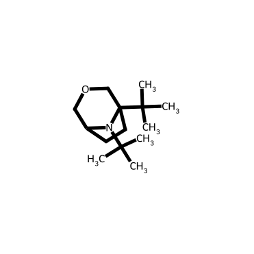 CC(C)(C)N1C2CCC1(C(C)(C)C)COC2